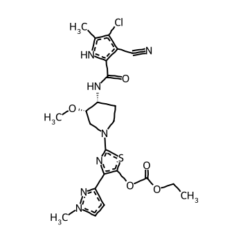 CCOC(=O)Oc1sc(N2CC[C@@H](NC(=O)c3[nH]c(C)c(Cl)c3C#N)[C@@H](OC)C2)nc1-c1ccn(C)n1